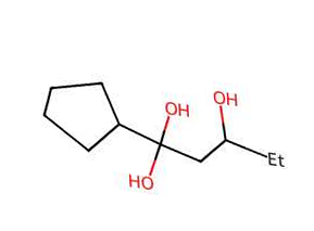 [CH2]CC(O)CC(O)(O)C1CCCC1